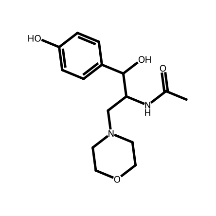 CC(=O)NC(CN1CCOCC1)C(O)c1ccc(O)cc1